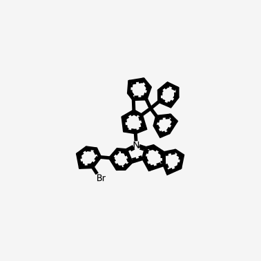 Brc1ccccc1-c1ccc2c3cc4ccccc4cc3n(-c3ccc4c(c3)C(c3ccccc3)(c3ccccc3)c3ccccc3-4)c2c1